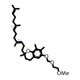 COCCOCOc1cc2c(c(C)c1C)OC(C)(CC/C=C(\C)CC/C=C(\C)CCC=C(C)C)CC2